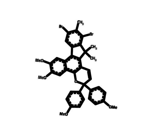 COc1ccc(C2(c3ccc(OC)cc3)C=Cc3c4c(c5cc(OC)c(OC)cc5c3O2)-c2cc(Br)c(C)c(Br)c2C4(C)C)cc1